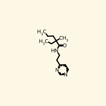 CCCC(C)(CC)C(=O)NCCc1ccncn1